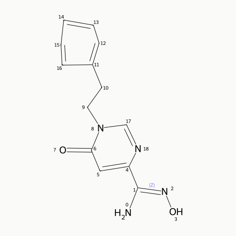 N/C(=N\O)c1cc(=O)n(CCc2ccccc2)cn1